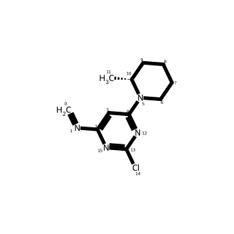 C=Nc1cc(N2CCCC[C@H]2C)nc(Cl)n1